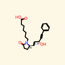 O=C(O)CCCCCCN1C(=O)CC[C@@H]1/C=C/[C@@H](O)C#Cc1ccccc1